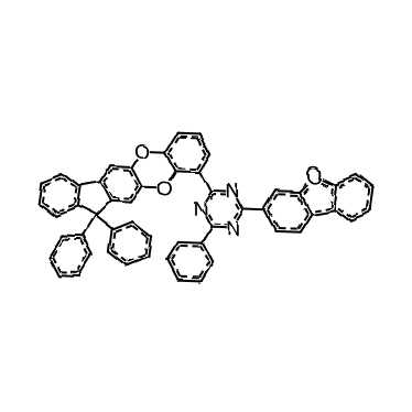 c1ccc(-c2nc(-c3ccc4c(c3)oc3ccccc34)nc(-c3cccc4c3Oc3cc5c(cc3O4)-c3ccccc3C5(c3ccccc3)c3ccccc3)n2)cc1